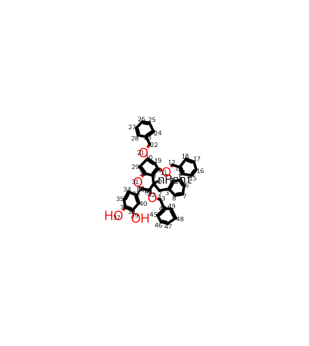 CCCCCC1(Cc2ccccc2)c2c(OCc3ccccc3)cc(OCc3ccccc3)cc2O[C@H](c2ccc(O)c(O)c2)[C@@H]1OCc1ccccc1